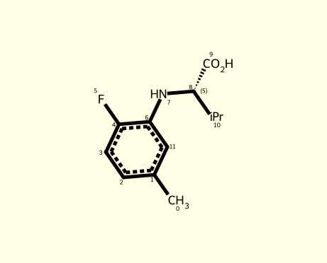 Cc1ccc(F)c(N[C@H](C(=O)O)C(C)C)c1